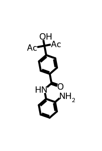 CC(=O)C(O)(C(C)=O)c1ccc(C(=O)Nc2ccccc2N)cc1